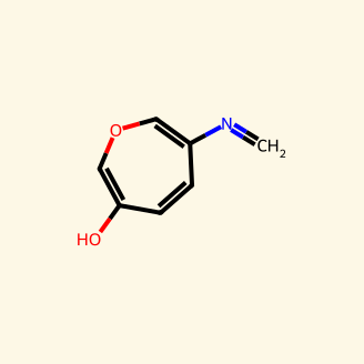 C=NC1=COC=C(O)C=C1